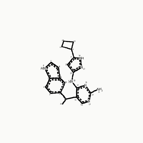 CC(c1ccc2[nH]ccc2c1)c1cnc(N)nc1Nc1cc(C2CCC2)[nH]n1